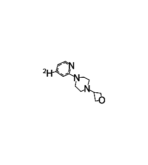 [2H]c1ccnc(N2CCN(C3COC3)CC2)c1